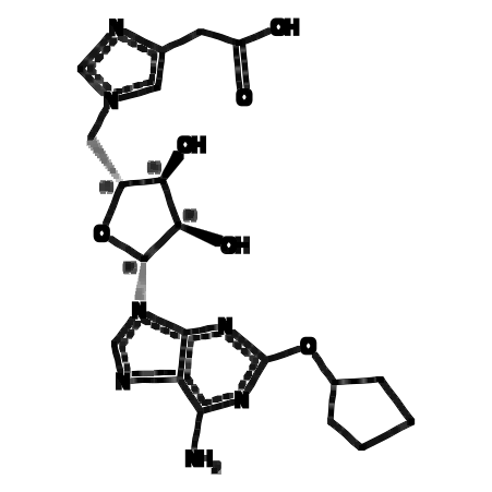 Nc1nc(OC2CCCC2)nc2c1ncn2[C@@H]1O[C@H](Cn2cnc(CC(=O)O)c2)[C@@H](O)[C@H]1O